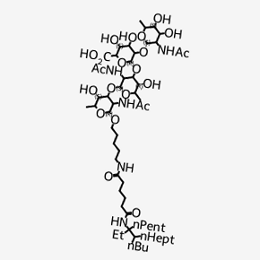 CCCCCCCC(CCCC)C(CC)(CCCCC)NC(=O)CCCCC(=O)NCCCCCO[C@@H]1OC(C)[C@H](O)C(O[C@@H]2OC(C)[C@@H](O)C(O[C@@H]3OC(C(=O)O)[C@@H](O)C(O)C3O[C@@H]3OC(C)[C@@H](O)C(O)C3NC(C)=O)C2NC(C)=O)C1NC(C)=O